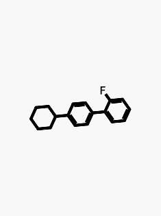 Fc1ccccc1-c1ccc(C2CCCCC2)cc1